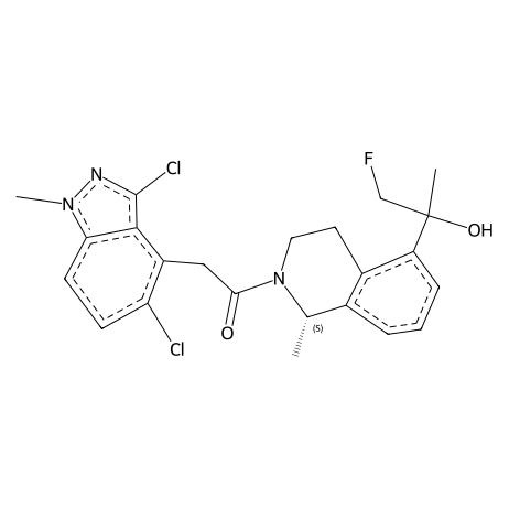 C[C@H]1c2cccc(C(C)(O)CF)c2CCN1C(=O)Cc1c(Cl)ccc2c1c(Cl)nn2C